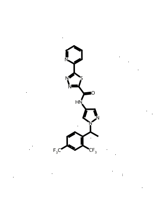 CC(c1ccc(C(F)(F)F)cc1C(F)(F)F)n1cc(NC(=O)c2nnc(-c3ccccn3)s2)cn1